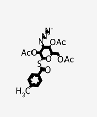 CC(=O)OCC1O[C@@H](SC(=O)c2ccc(C)cc2)C(OC(C)=O)C(N=[N+]=[N-])[C@H]1OC(C)=O